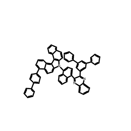 c1ccc(-c2ccc(-c3cccc4c3ccc3c4c4c5ccccc5ccc4n3-c3ccc(-c4nc5ccccc5nc4-c4cc(-c5ccccc5)cc(-c5ccccc5)c4)c4ccccc34)cc2)cc1